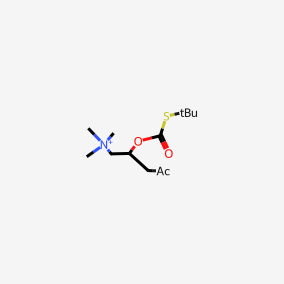 CC(=O)CC(C[N+](C)(C)C)OC(=O)SC(C)(C)C